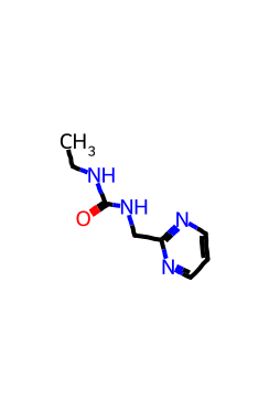 CCNC(=O)NCc1ncccn1